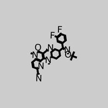 CN(c1c(C#N)c(=O)n(C)c2ccc(C#N)nc12)C1CCC(/C(=N\OC(C)(C)C)c2ccc(F)c(F)c2)CC1